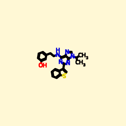 CC(C)n1cnc2c(NCCc3cccc(O)c3)nc(-c3csc4ccccc34)nc21